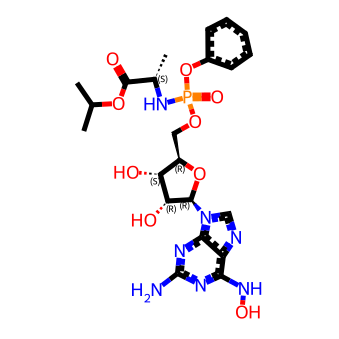 CC(C)OC(=O)[C@H](C)NP(=O)(OC[C@H]1O[C@@H](n2cnc3c(NO)nc(N)nc32)[C@H](O)[C@@H]1O)Oc1ccccc1